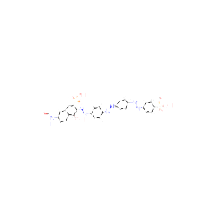 Cc1cc(N=Nc2c(S(=O)(=O)O)cc3cc(NC=O)ccc3c2O)c(C)cc1N=Nc1ccc(N=Nc2ccc(S(=O)(=O)O)cc2)cc1